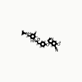 COc1cc2nccc(Oc3ccc(CC(=O)Nc4cc(C)cc(CNC5CC5)c4)cc3)c2cc1C#N